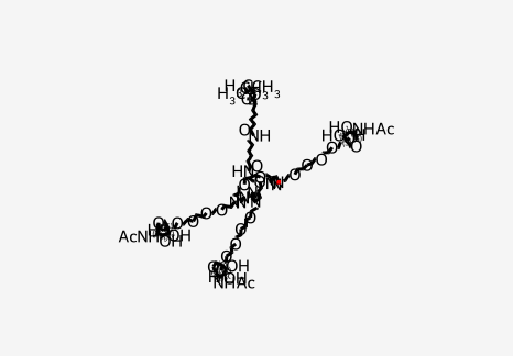 CC(=O)N[C@H]1[C@@H]2OC[C@](COCCOCCOCCOCCn3cc(COCC(COCc4cn(CCOCCOCCOCCOCC[C@@]56CO[C@@H](O5)[C@H](NC(C)=O)[C@@H](O)[C@H]6O)nn4)(COCc4cn(CCOCCOCCOCCOC[C@@]56CO[C@@H](O5)[C@H](NC(C)=O)[C@@H](O)[C@H]6O)nn4)NC(=O)CCCCCNC(=O)CCCCCB4OC(C)(C)C(C)(C)O4)nn3)(O2)[C@H](O)[C@@H]1O